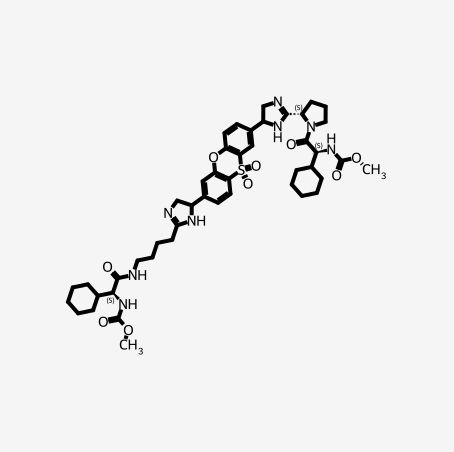 COC(=O)N[C@H](C(=O)NCCCCC1=NCC(c2ccc3c(c2)Oc2ccc(C4CN=C([C@@H]5CCCN5C(=O)[C@@H](NC(=O)OC)C5CCCCC5)N4)cc2S3(=O)=O)N1)C1CCCCC1